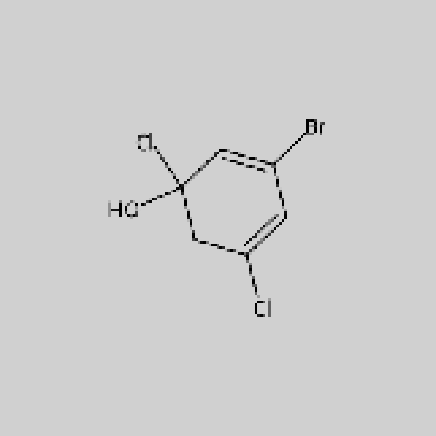 OC1(Cl)C=C(Br)C=C(Cl)C1